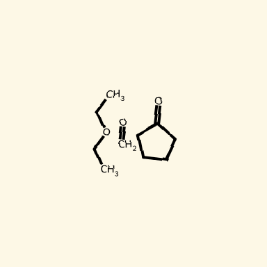 C=O.CCOCC.O=C1CCCC1